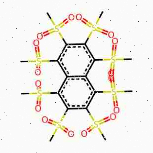 CS(=O)(=O)c1c(S(C)(=O)=O)c(S(C)(=O)=O)c2c(S(C)(=O)=O)c(S(C)(=O)=O)c(S(C)(=O)=O)c(S(C)(=O)=O)c2c1S(C)(=O)=O